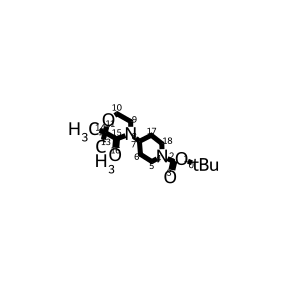 CC(C)(C)OC(=O)N1CCC(N2CCOC(C)(C)C2=O)CC1